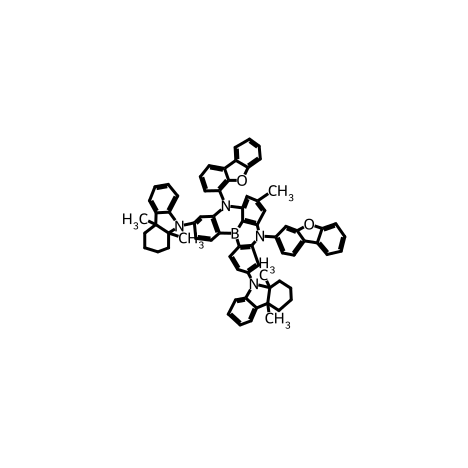 Cc1cc2c3c(c1)N(c1cccc4c1oc1ccccc14)c1cc(N4c5ccccc5C5(C)CCCCC45C)ccc1B3c1ccc(N3c4ccccc4C4(C)CCCCC34C)cc1N2c1ccc2c(c1)oc1ccccc12